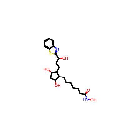 O=C(CCCCCC[C@@H]1C(CCC(O)c2nc3ccccc3s2)[C@H](O)C[C@@H]1O)NO